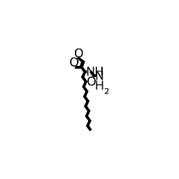 CCCCCCCCCCCCC(NC(N)=O)C1=CC(=O)OC1